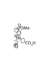 COC(=O)N1c2ccc3c(nc([C@H](C)Cn4cccn4)n3C3CCC(C(=O)O)CC3)c2CC[C@@H]1C